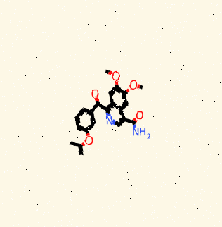 COc1cc2c(C(N)=O)cnc(C(=O)c3cccc(OC(C)C)c3)c2cc1OC